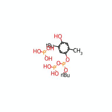 CCCCOP(Oc1cc(C(C)(C)C)c(O)cc1C)OP(O)O.OP(O)O